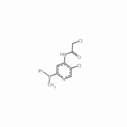 CC(C)N(C)c1cc(NC(=O)CCl)c(Cl)cn1